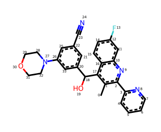 Cc1c(-c2ccccn2)nc2cc(F)ccc2c1C(O)c1cc(C#N)cc(N2CCOCC2)c1